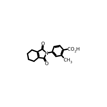 Cc1cc(N2C(=O)C3=C(CCCC3)C2=O)ccc1C(=O)O